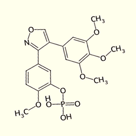 COc1ccc(-c2nocc2-c2cc(OC)c(OC)c(OC)c2)cc1OP(=O)(O)O